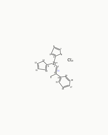 C/C(=[CH]\[Zr+]([C]1=CC=CC1)[C]1=CC=CC1)c1ccccc1.[Cl-]